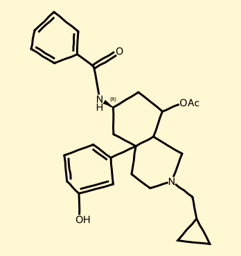 CC(=O)OC1C[C@H](NC(=O)c2ccccc2)CC2(c3cccc(O)c3)CCN(CC3CC3)CC12